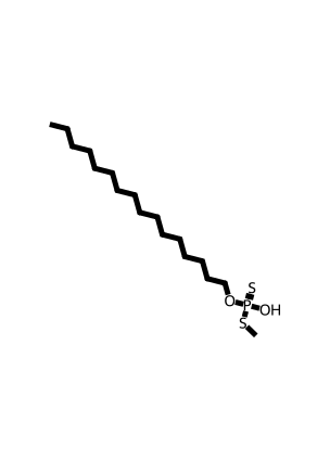 CCCCCCCCCCCCCCCCOP(O)(=S)SC